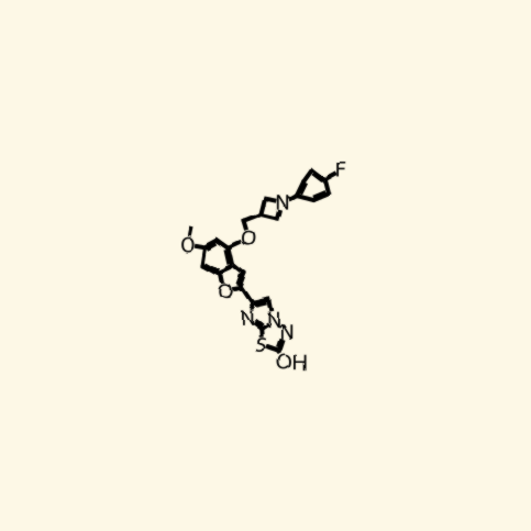 COc1cc(OCC2CN(c3ccc(F)cc3)C2)c2cc(-c3cn4nc(O)sc4n3)oc2c1